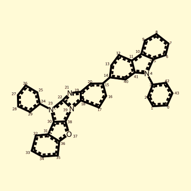 c1ccc(-n2c3ccccc3c3ccc(-c4ccc5c(c4)nc4n(-c6ccccc6)c6c7ccccc7oc6n54)cc32)cc1